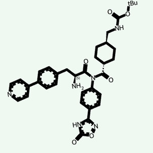 CC(C)(C)OC(=O)NC[C@H]1CC[C@H](C(=O)N(C(=O)[C@@H](N)Cc2ccc(-c3ccncc3)cc2)c2ccc(-c3noc(=O)[nH]3)cc2)CC1